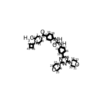 CC1CN(C(=O)c2ccc(NC(=O)Nc3ccc(-c4nc(N5CCOCC5)nc(N5CCOCC5)n4)cc3)cc2)CCN1C1CCC1